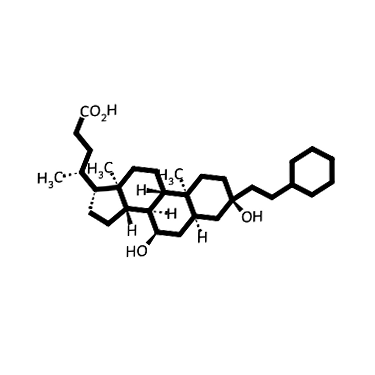 C[C@H](CCC(=O)O)[C@H]1CC[C@H]2[C@@H]3[C@H](O)C[C@@H]4C[C@@](O)(CCC5CCCCC5)CC[C@]4(C)[C@H]3CC[C@]12C